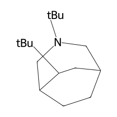 CC(C)(C)C1CC2CCC1CN(C(C)(C)C)C2